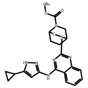 CCCCOC(=O)N1CC2CCC1CN2c1nc(Nc2cc(C3CC3)[nH]n2)c2ccccc2n1